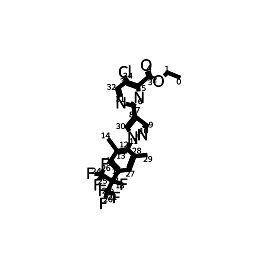 CCOC(=O)c1nc(-c2cnn(-c3c(C)cc(C(F)(C(F)(F)F)C(F)(F)F)cc3C)c2)ncc1Cl